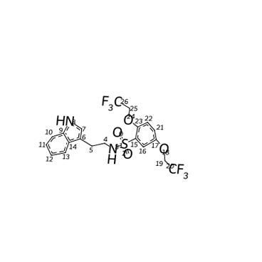 O=S(=O)(NCCc1c[nH]c2ccccc12)c1cc(OCC(F)(F)F)ccc1OCC(F)(F)F